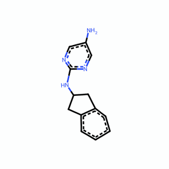 Nc1cnc(NC2Cc3ccccc3C2)nc1